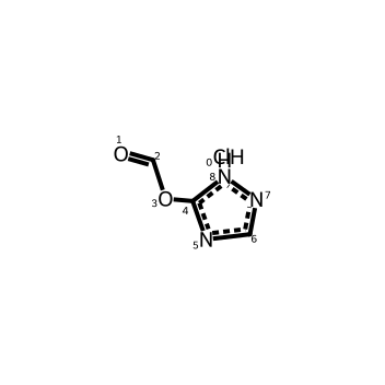 Cl.O=COc1ncn[nH]1